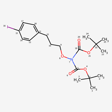 CC(C)(C)OC(=O)N(OCCCc1ccc(I)cc1)C(=O)OC(C)(C)C